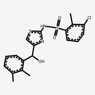 Cc1cccc(C(O)c2csc(NS(=O)(=O)c3cccc(Cl)c3C)n2)c1C